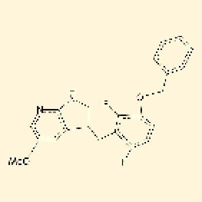 COc1cnc2c(c1)C(Cc1c(F)ccc(OCc3ccccc3)c1F)CN2